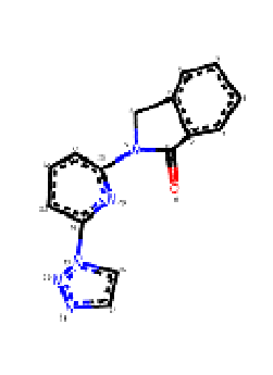 O=C1c2ccccc2CN1c1cccc(-n2ccnn2)n1